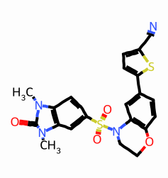 Cn1c(=O)n(C)c2cc(S(=O)(=O)N3CCOc4ccc(-c5ccc(C#N)s5)cc43)ccc21